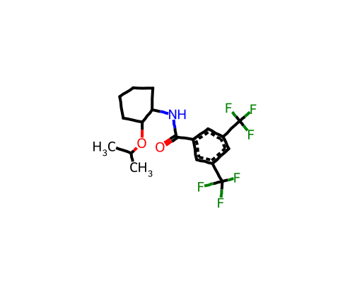 CC(C)OC1CCCCC1NC(=O)c1cc(C(F)(F)F)cc(C(F)(F)F)c1